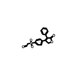 O=CCS(=O)(=O)c1ccc(C2=C(c3ccccc3)C(=O)OC2)cc1